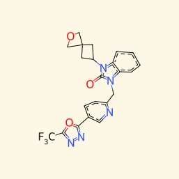 O=c1n(Cc2ccc(-c3nnc(C(F)(F)F)o3)cn2)c2ccccc2n1C1CC2(COC2)C1